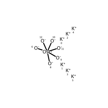 [K+].[K+].[K+].[K+].[K+].[K+].[O-][Os]([O-])([O-])([O-])([O-])[O-]